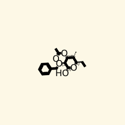 CC[C@H]1O[C@H](O)[C@@H](OCc2ccccc2)[C@@H](OC(C)=O)[C@@H]1C